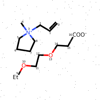 C=CC[N+]1(C)CCCC1.CCOCCOCCC(=O)[O-]